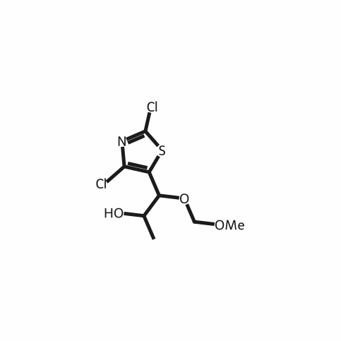 COCOC(c1sc(Cl)nc1Cl)C(C)O